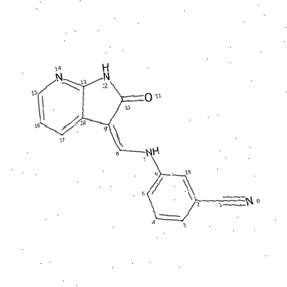 N#Cc1cccc(N/C=C2\C(=O)Nc3ncccc32)c1